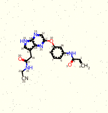 C=CC(=O)Nc1cccc(Oc2cnc3[nH]cc(CC(=O)NCC#N)c3n2)c1